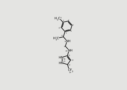 Cc1cccc(C(C)NCNC2=CC(C(F)(F)F)NN2)c1